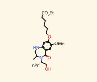 CCC[C@@H](CO)N1C(=O)c2cc(OC)c(OCCCCCC(=O)OCC)cc2NCC1C